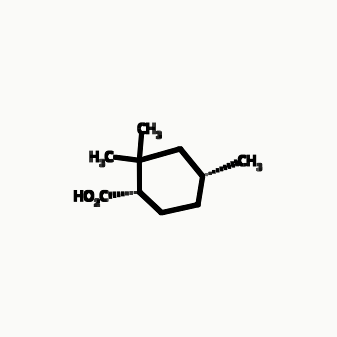 C[C@@H]1CC[C@H](C(=O)O)C(C)(C)C1